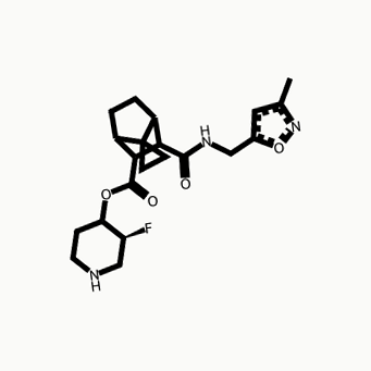 Cc1cc(CNC(=O)C2C(C(=O)OC3CCNC[C@@H]3F)C3CCC2C32CC2)on1